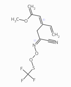 C=C/C(=C/C(=C)OC)C/C(C#N)=N/OOSC(F)(F)F